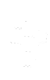 CC(=O)N(c1ccccc1)C(C(=O)C(C)(C)C)n1cncn1